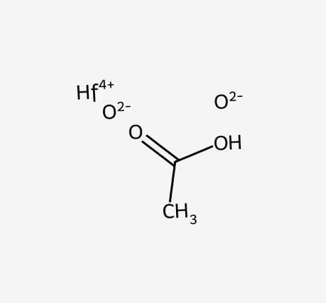 CC(=O)O.[Hf+4].[O-2].[O-2]